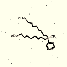 CCCCCCCCCCCCCCCCCC[N+](CCCCCCCCCCCCCCCCCC)(c1ccccc1)C(F)(F)F